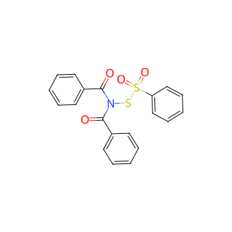 O=C(c1ccccc1)N(SS(=O)(=O)c1ccccc1)C(=O)c1ccccc1